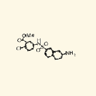 COC(=O)c1cc(NS(=O)(=O)c2ccc3ccc(N)cc3c2)ccc1Cl